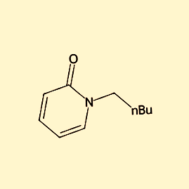 CCCCCn1ccccc1=O